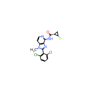 Cn1c(-c2c(Cl)cccc2Cl)nc2c(NC(=O)[C@H]3C[C@H]3F)nccc21